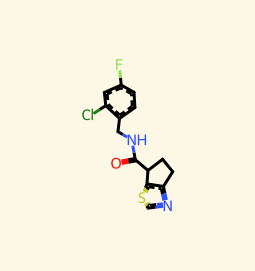 O=C(NCc1ccc(F)cc1Cl)C1CCc2ncsc21